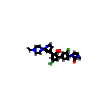 CCN1CCN(c2cc(-c3cc(F)cc(-c4ccc(-n5ccn(C)c5=O)c(Cl)c4)c3O)ccn2)CC1